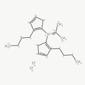 CCCCC1=[C]([Ti+2]([C]2=C(CCCC)C=CC2)=[C](C)C)CC=C1.[Cl-].[Cl-]